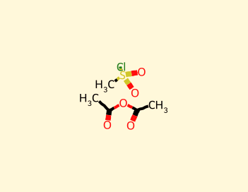 CC(=O)OC(C)=O.CS(=O)(=O)Cl